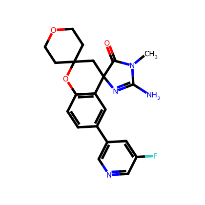 CN1C(=O)C2(CC3(CCOCC3)Oc3ccc(-c4cncc(F)c4)cc32)N=C1N